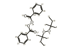 CCC(C)(C)OOC(C)(C)CC.O=C(OOC(=O)c1ccccc1)c1ccccc1